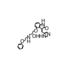 O=C1Nc2cccc(OCC(O)CNCCOc3ccccc3)c2C1=Cc1cnc[nH]1